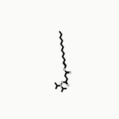 CCCCCCCCCCC=COC(=O)CCC(=O)ON(C(C)C)C(C)C